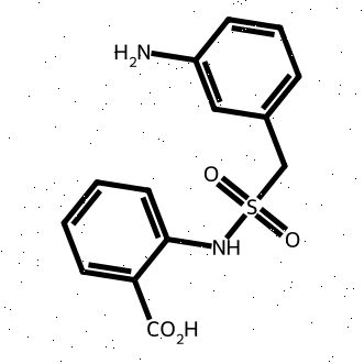 Nc1cccc(CS(=O)(=O)Nc2ccccc2C(=O)O)c1